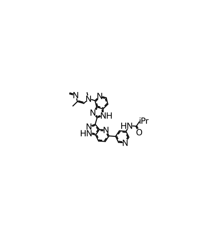 C=N/C(C)=C\N(C)c1nccc2[nH]c(-c3n[nH]c4ccc(-c5cncc(NC(=O)C(C)C)c5)nc34)nc12